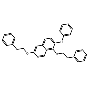 c1ccc(CCOc2ccc3c(OCCc4ccccc4)c(Oc4ccccc4)ccc3c2)cc1